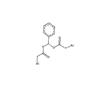 CC(=O)CC(=O)OC(OC(=O)CC(C)=O)c1ccccc1